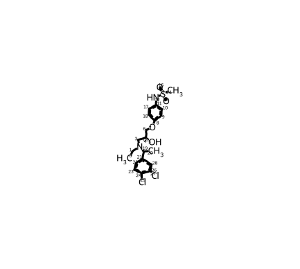 CCN(C[C@H](O)COc1ccc(NS(C)(=O)=O)cc1)C(C)c1ccc(Cl)c(Cl)c1